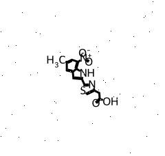 Cc1cc([N+](=O)[O-])c2[nH]c(-c3nc(CC(=O)O)cs3)cc2c1